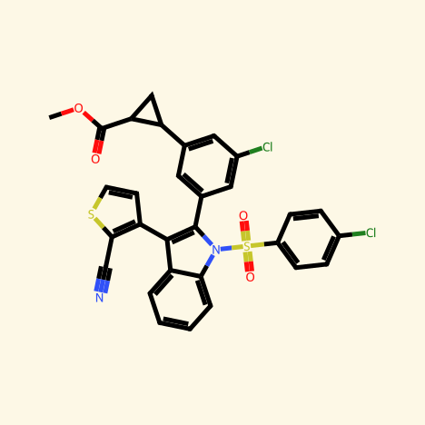 COC(=O)C1CC1c1cc(Cl)cc(-c2c(-c3ccsc3C#N)c3ccccc3n2S(=O)(=O)c2ccc(Cl)cc2)c1